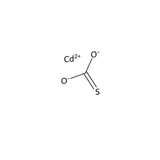 [Cd+2].[O-]C([O-])=S